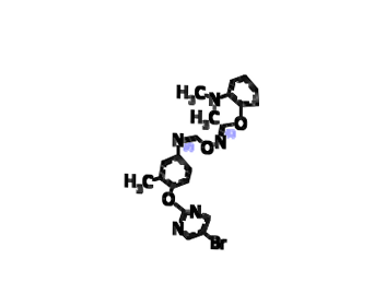 Cc1cc(/N=C\O/N=C/Oc2ccccc2N(C)C)ccc1Oc1ncc(Br)cn1